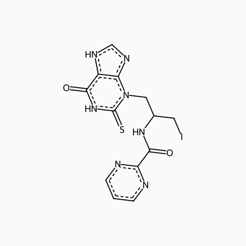 O=C(NC(CI)Cn1c(=S)[nH]c(=O)c2[nH]cnc21)c1ncccn1